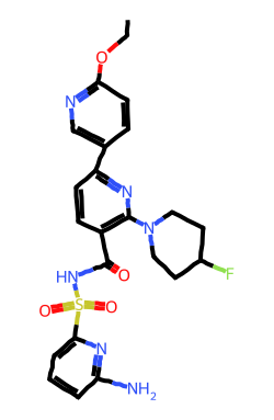 CCOc1ccc(-c2ccc(C(=O)NS(=O)(=O)c3cccc(N)n3)c(N3CCC(F)CC3)n2)cn1